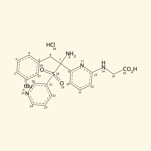 CC(C)(C)c1cccc(CC(N)(c2cccc(NCC(=O)O)n2)S(=O)(=O)c2cccnc2)c1.Cl